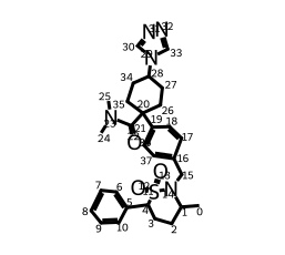 CC1CCC(c2ccccc2)S(=O)(=O)N1Cc1ccc(C2(C(=O)N(C)C)CCC(n3cnnc3)CC2)cc1